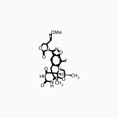 CON=CC1COC(=O)N1c1noc2c(F)c3c(cc12)CC1(C(=O)NC(=O)NC1=O)[C@H]1[C@H](C)O[C@H](C)CN31